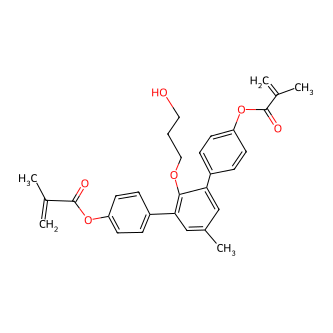 C=C(C)C(=O)Oc1ccc(-c2cc(C)cc(-c3ccc(OC(=O)C(=C)C)cc3)c2OCCCO)cc1